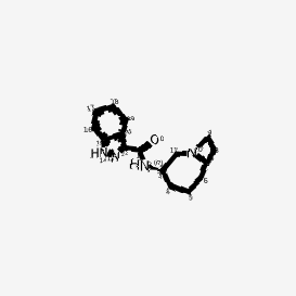 O=C(N[C@@H]1CCCC2CCN2C1)c1n[nH]c2ccccc12